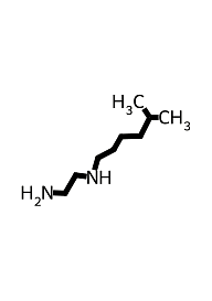 CC(C)CCCCNCCN